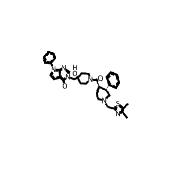 Cc1nc(CN2CC[C@@H](C(=O)N3CCC(O)(Cn4cnc5c(ccn5-c5ccccc5)c4=O)CC3)[C@H](c3ccccc3)C2)sc1C